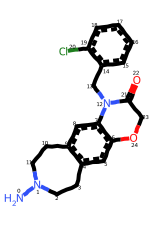 NN1CCc2cc3c(cc2CC1)N(Cc1ccccc1Cl)C(=O)CO3